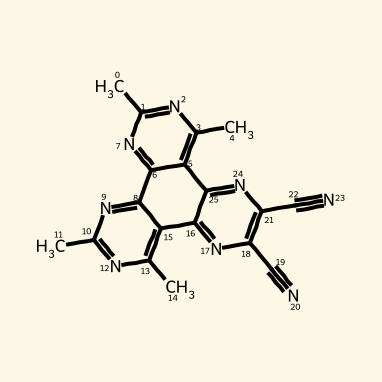 Cc1nc(C)c2c(n1)c1nc(C)nc(C)c1c1nc(C#N)c(C#N)nc12